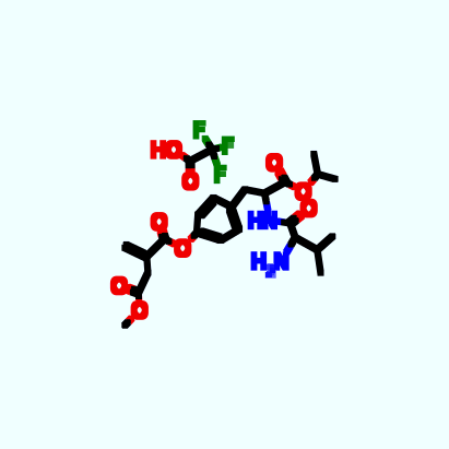 C=C(CC(=O)OC)C(=O)Oc1ccc(CC(NC(=O)C(N)C(C)C)C(=O)OC(C)C)cc1.O=C(O)C(F)(F)F